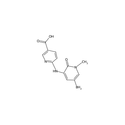 Bc1cc(Nc2ccc(C(=O)O)cn2)c(=O)n(C)c1